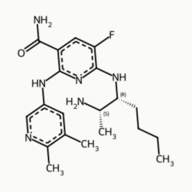 CCCC[C@@H](Nc1nc(Nc2cnc(C)c(C)c2)c(C(N)=O)cc1F)[C@H](C)N